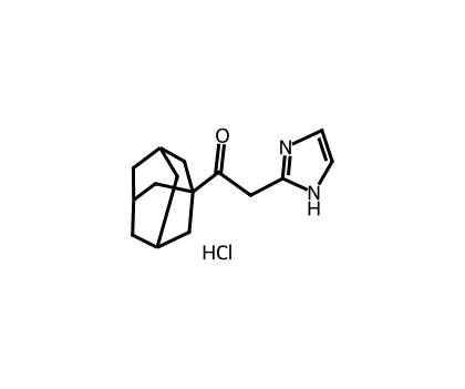 Cl.O=C(Cc1ncc[nH]1)C12CC3CC(CC(C3)C1)C2